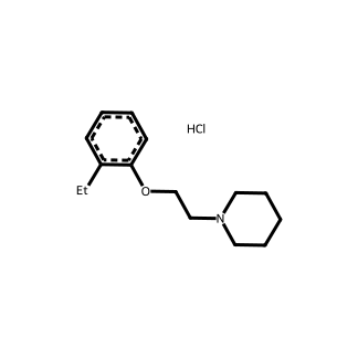 CCc1ccccc1OCCN1CCCCC1.Cl